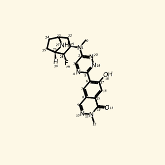 CN(c1cnc(-c2cc3cnn(C)c(=O)c3cc2O)nn1)[C@@H]1CC2CC[C@H](N2)[C@@H]1F